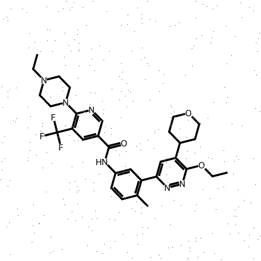 CCOc1nnc(-c2cc(NC(=O)c3cnc(N4CCN(CC)CC4)c(C(F)(F)F)c3)ccc2C)cc1C1CCOCC1